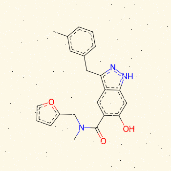 Cc1cccc(Cc2n[nH]c3cc(O)c(C(=O)N(C)Cc4ccco4)cc23)c1